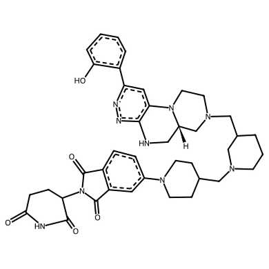 O=C1CCC(N2C(=O)c3ccc(N4CCC(CN5CCCC(CN6CCN7c8cc(-c9ccccc9O)nnc8NC[C@H]7C6)C5)CC4)cc3C2=O)C(=O)N1